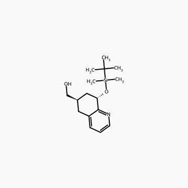 CC(C)(C)[Si](C)(C)O[C@H]1C[C@H](CO)Cc2cccnc21